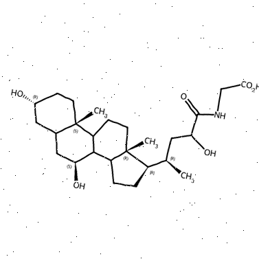 C[C@H](CC(O)C(=O)NCC(=O)O)[C@H]1CCC2C3C(CC[C@@]21C)[C@@]1(C)CC[C@@H](O)CC1C[C@@H]3O